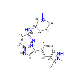 Cc1n[nH]c2ccc(-c3cnc4ccc(NC5CCCNC5)nn34)cc12